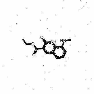 CCOC(=O)c1cc2cccc(NC)c2[nH]c1=O